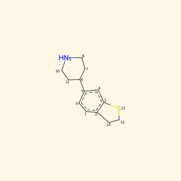 c1cc2c(cc1C1CCNCC1)SCC2